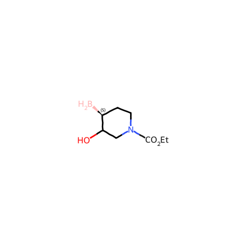 B[C@H]1CCN(C(=O)OCC)CC1O